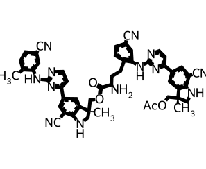 CC(=O)OC[C@@]1(C)CNc2c(C#N)cc(-c3ccnc(Nc4cc(C#N)ccc4CC[C@H](N)C(=O)OC[C@@]4(C)CNc5c(C#N)cc(-c6ccnc(Nc7cc(C#N)ccc7C)n6)cc54)n3)cc21